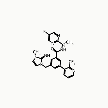 C[C@H](NC(=O)c1cc(Cn2ccn(C)c2=N)cc(-c2cccnc2C(F)(F)F)c1)c1ncc(F)cn1